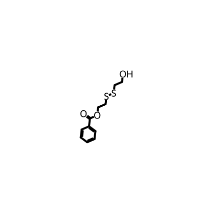 O=C(OCCSSCCO)c1ccccc1